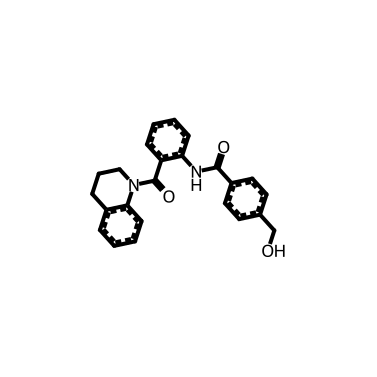 O=C(Nc1ccccc1C(=O)N1CCCc2ccccc21)c1ccc(CO)cc1